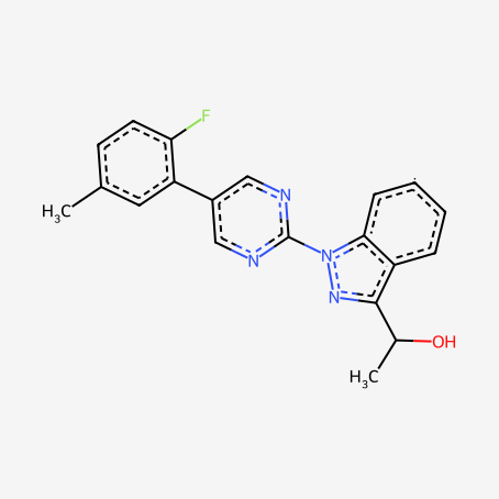 Cc1ccc(F)c(-c2cnc(-n3nc(C(C)O)c4cc[c]cc43)nc2)c1